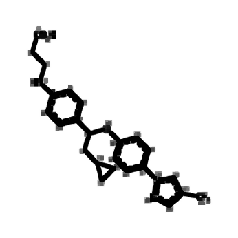 O=C(O)CCNc1ccc(C(CC2CC2)Oc2ccc(-n3cc(C(F)(F)F)cn3)cc2)cc1